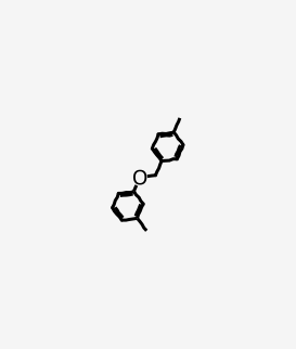 Cc1ccc(COc2cccc(C)c2)cc1